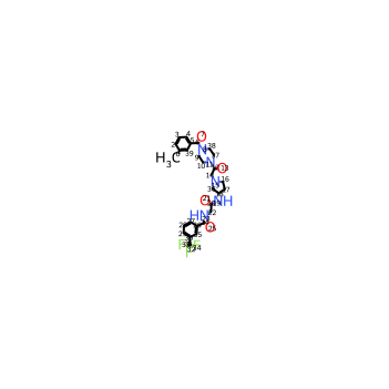 Cc1cccc(C(=O)N2CCN(C(=O)CN3CC[C@@H](NC(=O)CNC(=O)c4cccc(C(F)(F)F)c4)C3)CC2)c1